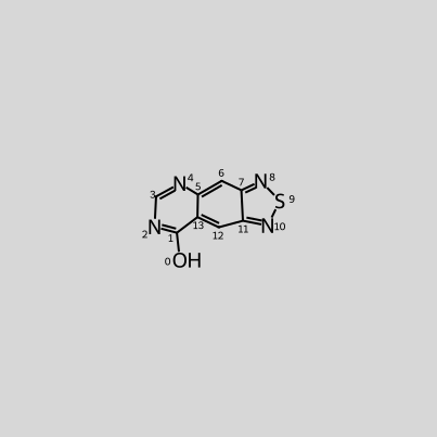 Oc1ncnc2cc3nsnc3cc12